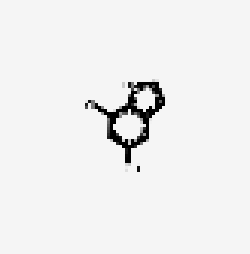 Oc1cc(Cl)c2[nH]ccc2c1